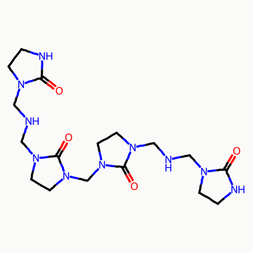 O=C1NCCN1CNCN1CCN(CN2CCN(CNCN3CCNC3=O)C2=O)C1=O